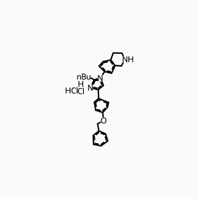 CCCCc1nc(-c2ccc(OCc3ccccc3)cc2)cn1-c1ccc2c(c1)CNCC2.Cl.Cl